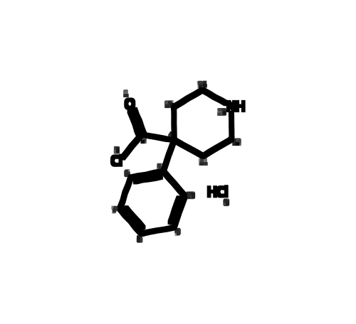 Cl.O=C(Cl)C1(c2ccccc2)CCNCC1